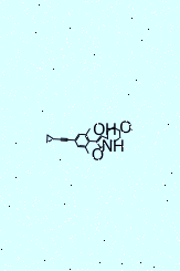 CO[C@H]1CC[C@]2(CC1)NC(=O)C(c1c(C)cc(C#CC3CC3)cc1C)=C2O